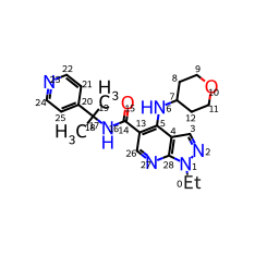 CCn1ncc2c(NC3CCOCC3)c(C(=O)NC(C)(C)c3ccncc3)cnc21